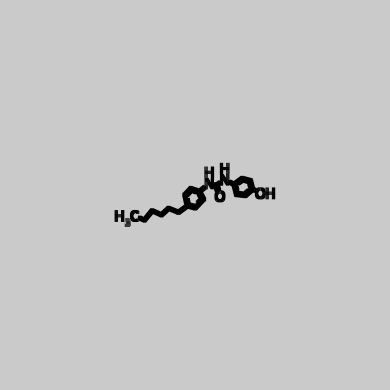 CCCCCCc1ccc(NC(=O)Nc2ccc(O)cc2)cc1